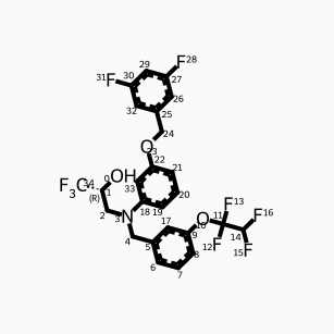 O[C@H](CN(Cc1cccc(OC(F)(F)C(F)F)c1)c1cccc(OCc2cc(F)cc(F)c2)c1)C(F)(F)F